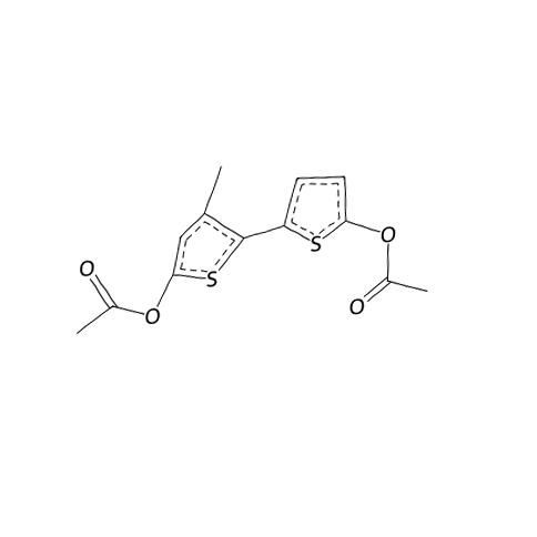 CC(=O)Oc1ccc(-c2sc(OC(C)=O)cc2C)s1